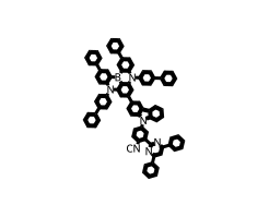 N#Cc1ccc(-n2c3ccccc3c3cc(-c4cc5c6c(c4)N(c4ccc(-c7ccccc7)cc4)c4ccc(-c7ccccc7)cc4B6c4cc(-c6ccccc6)ccc4N5c4ccc(-c5ccccc5)cc4)ccc32)cc1-c1nc(-c2ccccc2)cc(-c2ccccc2)n1